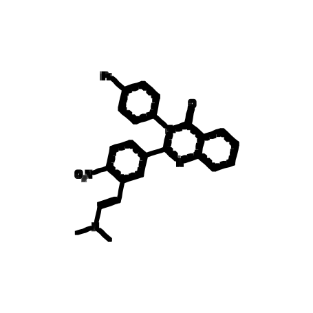 CC(C)c1ccc(-n2c(-c3ccc([N+](=O)[O-])c(/C=C/N(C)C)c3)nc3ccccc3c2=O)cc1